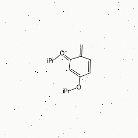 C=C1C=CC(OC(C)C)=C/C1=[O+]\C(C)C